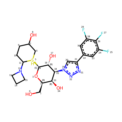 OC[C@H]1O[C@@H]([SH]2C[C](O)CCC2N2CCC2)[C@H](O)[C@@H](n2cc(-c3cc(F)c(F)c(F)c3)nn2)[C@H]1O